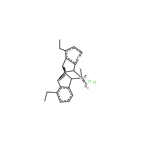 CCc1cccc2c1C=C(C)[CH]2[Zr+2]([CH3])([CH3])(=[SiH2])[CH]1C(C)=Cc2c(CC)cccc21.[Cl-].[Cl-]